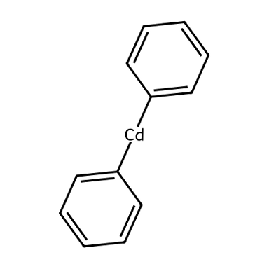 c1cc[c]([Cd][c]2ccccc2)cc1